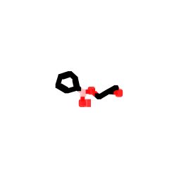 OB(OCC1CO1)c1ccccc1